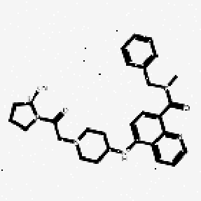 CN(Cc1ccccc1)C(=O)c1ccc(NC2CCN(CC(=O)N3CCC[C@H]3C#N)CC2)c2cccnc12